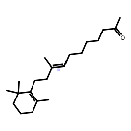 CC(=O)CCCCC/C=C(\C)CCC1=C(C)CCCC1(C)C